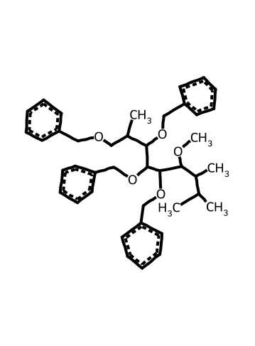 COC(C(C)C(C)C)C(OCc1ccccc1)C(OCc1ccccc1)C(OCc1ccccc1)C(C)COCc1ccccc1